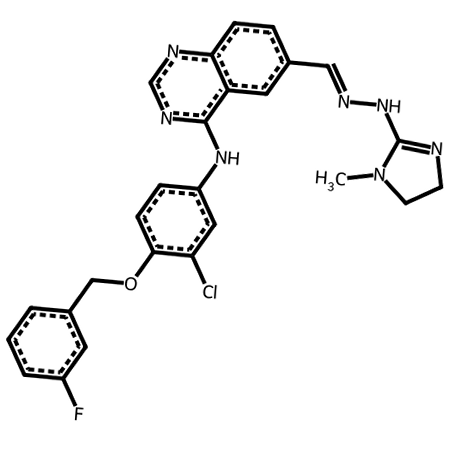 CN1CCN=C1NN=Cc1ccc2ncnc(Nc3ccc(OCc4cccc(F)c4)c(Cl)c3)c2c1